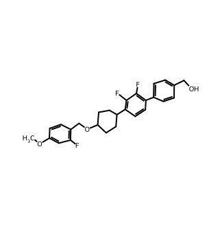 COc1ccc(COC2CCC(c3ccc(-c4ccc(CO)cc4)c(F)c3F)CC2)c(F)c1